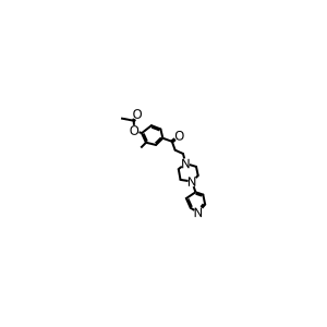 CC(=O)Oc1ccc(C(=O)CCN2CCN(c3ccncc3)CC2)cc1C